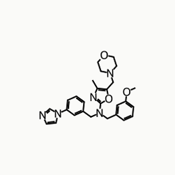 COc1cccc(CN(Cc2cccc(-n3ccnc3)c2)c2nc(C)c(CN3CCOCC3)o2)c1